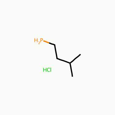 CC(C)CCP.Cl